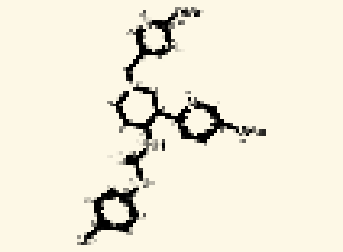 COc1ccc(C2CN(Cc3cnc(OC)nc3)CCC2NC(=O)Nc2ccc(Cl)cc2)nc1